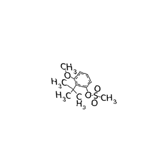 COc1cccc(OS(C)(=O)=O)c1C(C)(C)C